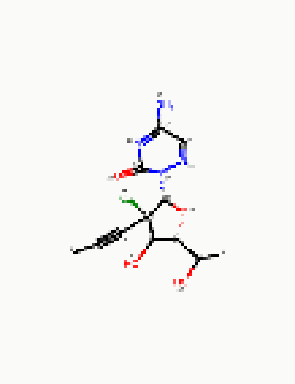 CC#C[C@@]1(Cl)C(O)[C@@H]([C@@H](C)O)O[C@H]1n1ncc(N)nc1=O